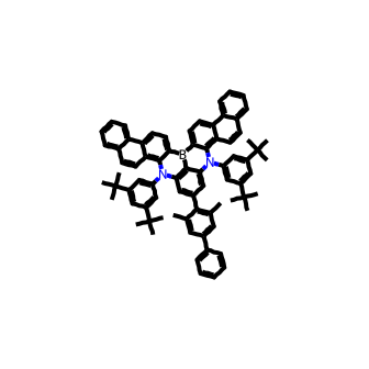 Cc1cc(-c2ccccc2)cc(C)c1-c1cc2c3c(c1)N(c1cc(C(C)(C)C)cc(C(C)(C)C)c1)c1c(ccc4c1ccc1ccccc14)B3c1ccc3c(ccc4ccccc43)c1N2c1cc(C(C)(C)C)cc(C(C)(C)C)c1